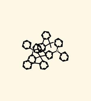 CC1(C)c2ccccc2-c2cc(N(c3ccccc3)c3cc4ccccc4c4c3C3(c5ccccc5-c5cc(N(c6ccccc6)c6ccccc6)ccc53)c3ccccc3-4)ccc21